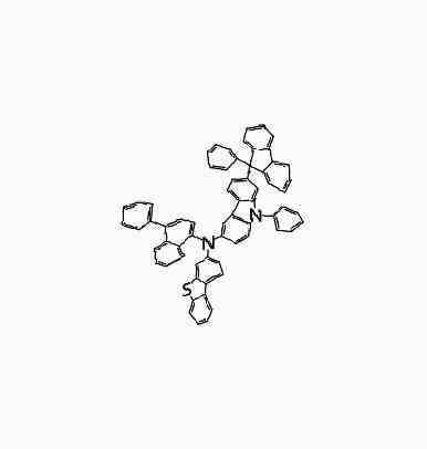 c1ccc(-c2ccc(N(c3ccc4c(c3)sc3ccccc34)c3ccc4c(c3)c3ccc(C5(c6ccccc6)c6ccccc6-c6ccccc65)cc3n4-c3ccccc3)c3ccccc23)cc1